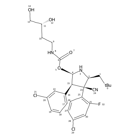 CC(C)(C)C[C@@H]1N[C@H](OC(=O)NCC[C@@H](O)CO)[C@H](c2cccc(Cl)c2)[C@@]1(C#N)c1ccc(Cl)cc1F